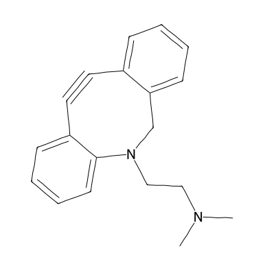 CN(C)CCN1Cc2ccccc2C#Cc2ccccc21